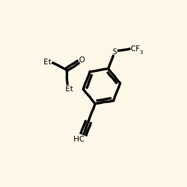 C#Cc1ccc(SC(F)(F)F)cc1.CCC(=O)CC